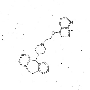 c1ccc2c(c1)CCc1ccccc1C2N1CCN(CCOc2cccc3ncccc23)CC1